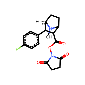 CN1C2CC[C@@H]1C(c1ccc(F)cc1)C2C(=O)ON1C(=O)CCC1=O